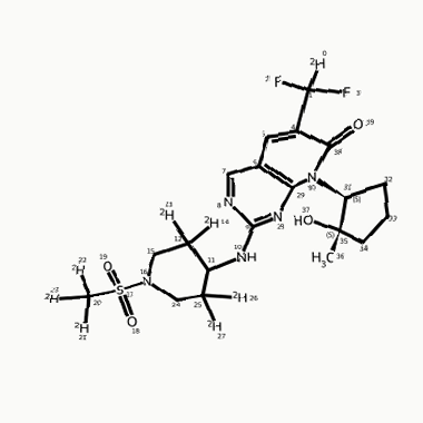 [2H]C(F)(F)c1cc2cnc(NC3C([2H])([2H])CN(S(=O)(=O)C([2H])([2H])[2H])CC3([2H])[2H])nc2n([C@H]2CCC[C@]2(C)O)c1=O